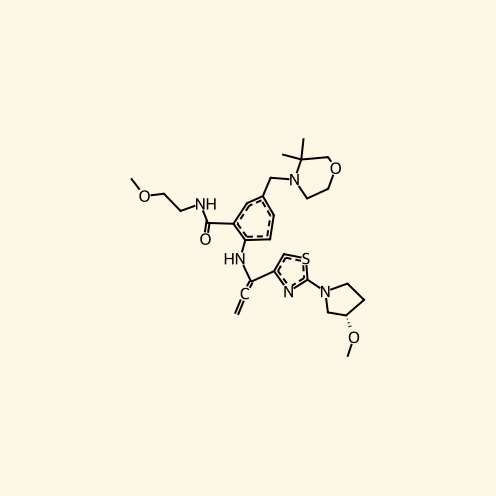 C=C=C(Nc1ccc(CN2CCOCC2(C)C)cc1C(=O)NCCOC)c1csc(N2CC[C@H](OC)C2)n1